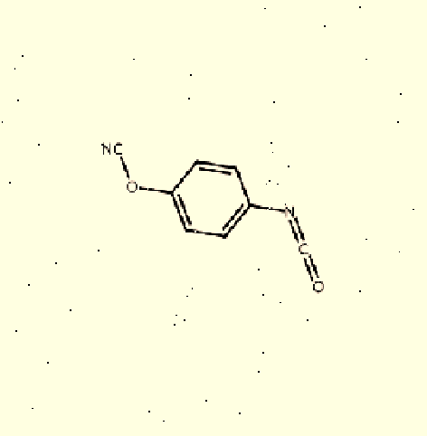 N#COc1ccc(N=C=O)cc1